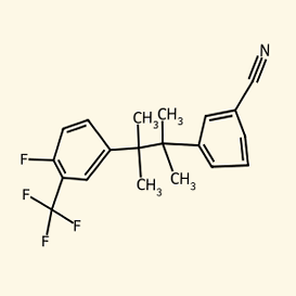 CC(C)(c1cccc(C#N)c1)C(C)(C)c1ccc(F)c(C(F)(F)F)c1